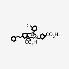 CC(C)(CCN(Cc1ccc(C(=O)O)cc1)CC(OCc1ccc(CCc2ccccc2)cc1)c1cccc(Cl)c1)CC(=O)O